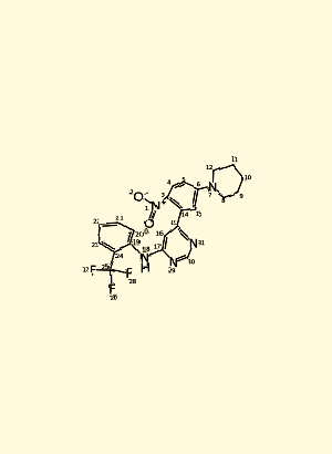 O=[N+]([O-])c1ccc(N2CCCCC2)cc1-c1cc(Nc2ccccc2C(F)(F)F)ncn1